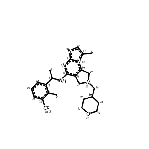 Cc1c(C(C)Nc2nc3ncc(C)n3c3c2CN(CC2CCOCC2)C3)cccc1C(F)(F)F